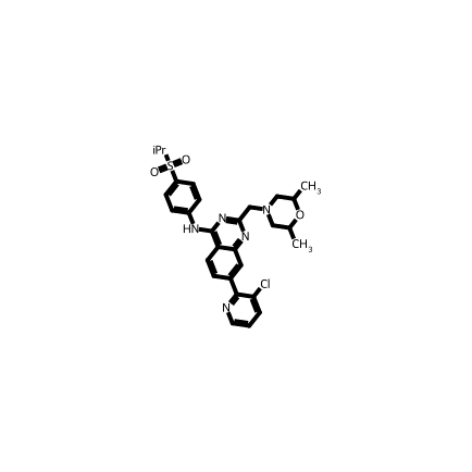 CC1CN(Cc2nc(Nc3ccc(S(=O)(=O)C(C)C)cc3)c3ccc(-c4ncccc4Cl)cc3n2)CC(C)O1